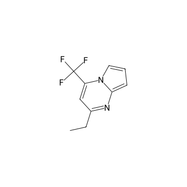 CCc1cc(C(F)(F)F)n2cccc2n1